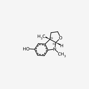 CN1c2ccc(O)cc2[C@]2(C)CCO[C@H]12